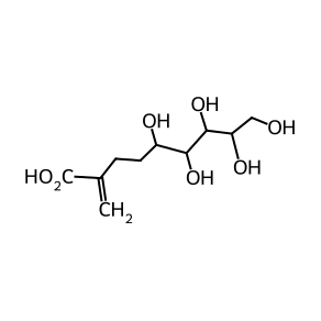 C=C(CCC(O)C(O)C(O)C(O)CO)C(=O)O